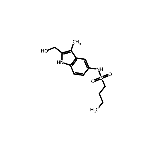 CCCCS(=O)(=O)Nc1ccc2[nH]c(CO)c(C)c2c1